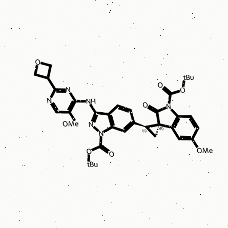 COc1ccc2c(c1)[C@]1(C[C@H]1c1ccc3c(Nc4nc(C5COC5)ncc4OC)nn(C(=O)OC(C)(C)C)c3c1)C(=O)N2C(=O)OC(C)(C)C